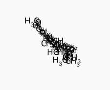 COC(=O)COc1ccc(-c2cn3ccc(Sc4nc(CO)c(N5CCC6(CC5)Cc5ccccc5[C@H]6NC(=O)OC(C)(C)C)nc4C)c(Cl)c3n2)cc1